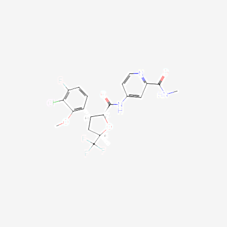 CNC(=O)c1cc(NC(=O)[C@H]2O[C@@](C)(C(F)(F)F)C[C@@H]2c2ccc(F)c(Cl)c2OC)ccn1